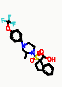 CC1CN(c2ccc(OC(F)(F)F)cc2)CCN1S(=O)(=O)C1(C(=O)O)CCc2ccccc21